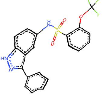 O=S(=O)(Nc1ccc2[nH]nc(-c3ccccc3)c2c1)c1ccccc1OC(F)(F)F